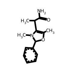 CC1=C(C(C)C(N)=O)N(C)C(c2ccccc2)O1